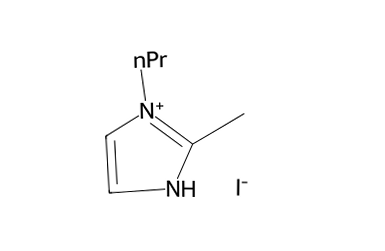 CCC[n+]1cc[nH]c1C.[I-]